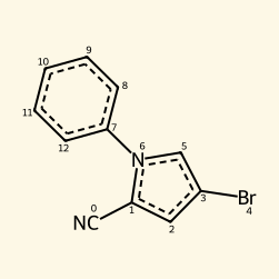 N#Cc1cc(Br)cn1-c1ccccc1